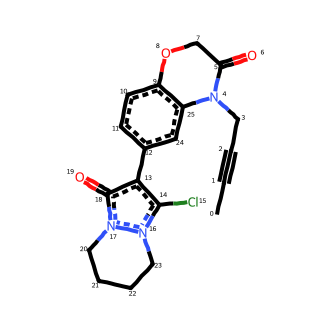 CC#CCN1C(=O)COc2ccc(-c3c(Cl)n4n(c3=O)CCCC4)cc21